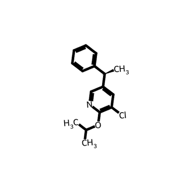 CC(C)Oc1ncc([C@H](C)c2ccccc2)cc1Cl